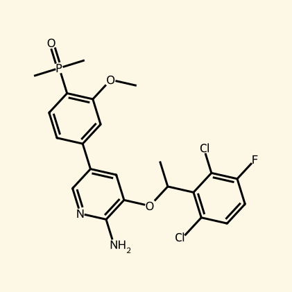 COc1cc(-c2cnc(N)c(OC(C)c3c(Cl)ccc(F)c3Cl)c2)ccc1P(C)(C)=O